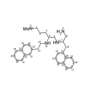 CNCCCC(CNC(CN)Cc1cccc2ccccc12)NCCc1ccc2ccccc2c1